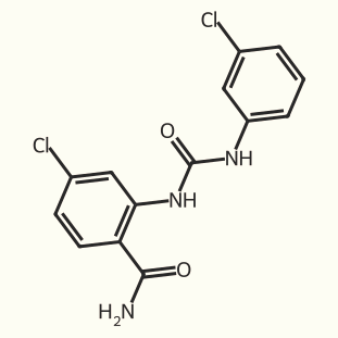 NC(=O)c1ccc(Cl)cc1NC(=O)Nc1cccc(Cl)c1